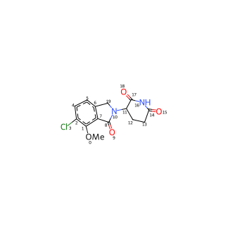 COc1c(Cl)ccc2c1C(=O)N(C1CCC(=O)NC1=O)C2